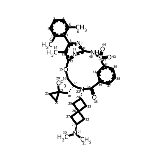 Cc1cccc(C)c1-c1nc2nc(c1C)OC[C@@H](CC1(C(F)(F)F)CC1)N([C@H]1CC3(C[C@H](N(C)C)C3)C1)C(=O)c1cccc(c1)S(=O)(=O)N2